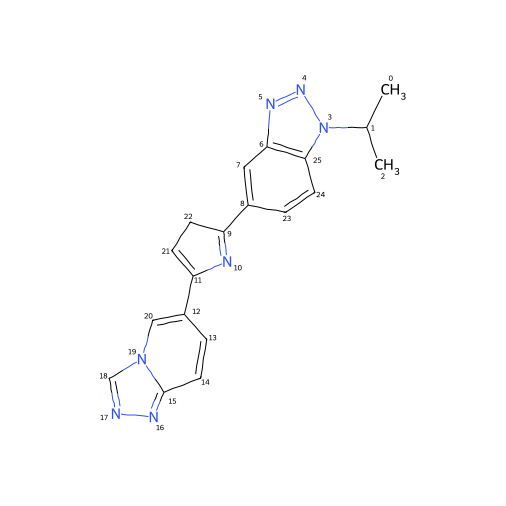 CC(C)n1nnc2cc(C3=NC(c4ccc5nncn5c4)=CC3)ccc21